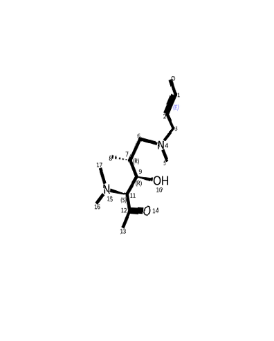 C/C=C/CN(C)C[C@@H](C)[C@@H](O)[C@@H](C(C)=O)N(C)C